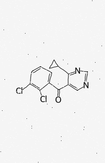 O=C(c1cncnc1C1CC1)c1cccc(Cl)c1Cl